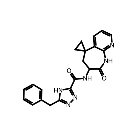 O=C(NC1CC2(CC2)c2cccnc2NC1=O)c1nnc(Cc2ccccc2)[nH]1